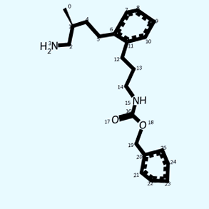 C[C@H](CN)CCc1ccccc1CCCNC(=O)OCc1ccccc1